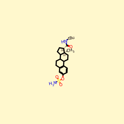 CC(C)(C)NC(=O)[C@H]1CCC2C3CCc4cc(OS(N)(=O)=O)ccc4C3CC[C@@]21C